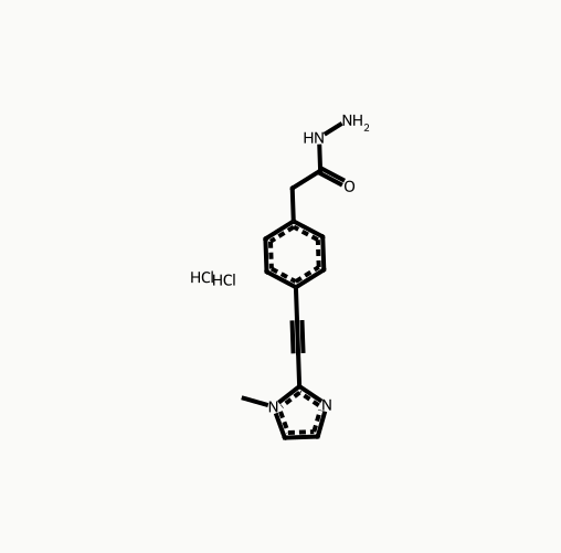 Cl.Cl.Cn1ccnc1C#Cc1ccc(CC(=O)NN)cc1